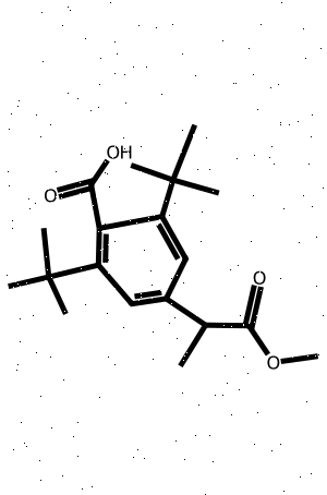 COC(=O)C(C)c1cc(C(C)(C)C)c(C(=O)O)c(C(C)(C)C)c1